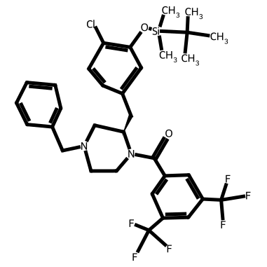 CC(C)(C)[Si](C)(C)Oc1cc(C[C@@H]2CN(Cc3ccccc3)CCN2C(=O)c2cc(C(F)(F)F)cc(C(F)(F)F)c2)ccc1Cl